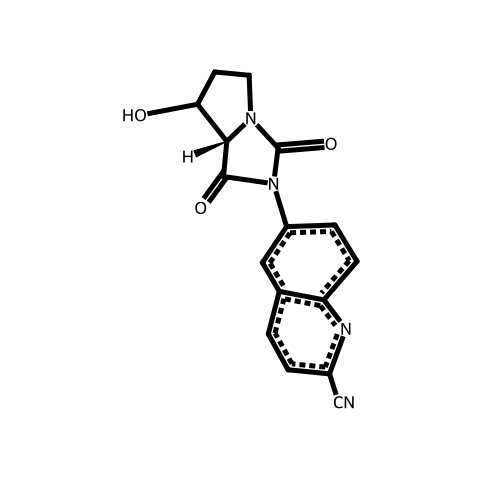 N#Cc1ccc2cc(N3C(=O)[C@@H]4C(O)CCN4C3=O)ccc2n1